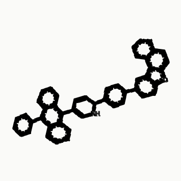 C1=CC(c2ccc(-c3ccc4oc5ccc6ccccc6c5c4c3)cc2)NC=C1c1c2ccccc2c(-c2ccccc2)c2ccccc12